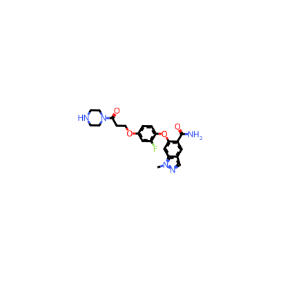 Cn1ncc2cc(C(N)=O)c(Oc3ccc(OCCC(=O)N4CCNCC4)cc3F)cc21